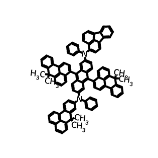 CC1(C)c2cc(N(c3ccccc3)c3ccc4c(-c5ccc6c7c(cccc57)C(C)(C)c5ccccc5-6)c5cc(N(c6ccccc6)c6ccc7c8c(cccc68)-c6ccccc6-7)ccc5c(-c5ccc6c7c(cccc57)C(C)(C)c5ccccc5-6)c4c3)ccc2-c2cccc3cccc1c23